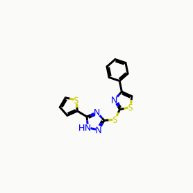 c1ccc(-c2csc(Sc3n[nH]c(-c4cccs4)n3)n2)cc1